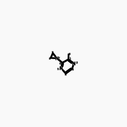 Cc1nccnc1N1CC1